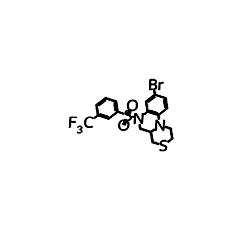 O=S(=O)(c1cccc(C(F)(F)F)c1)N1CC2CSCCN2c2ccc(Br)cc21